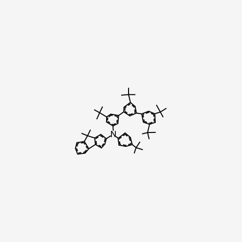 CC(C)(C)c1ccc(N(c2cc(-c3cc(-c4cc(C(C)(C)C)cc(C(C)(C)C)c4)cc(C(C)(C)C)c3)cc(C(C)(C)C)c2)c2ccc3c(c2)C(C)(C)c2ccccc2-3)cc1